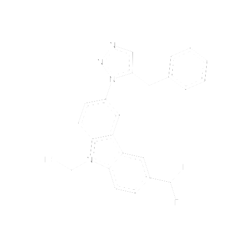 CCn1c2ccc(C(F)F)cc2c2cc(-n3nncc3Cc3ccccc3)ccc21